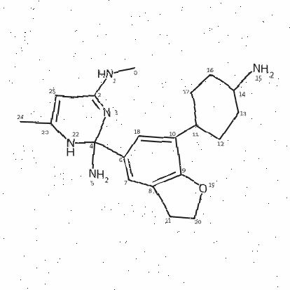 CNC1=NC(N)(c2cc3c(c(C4CCC(N)CC4)c2)OCC3)NC(C)=C1